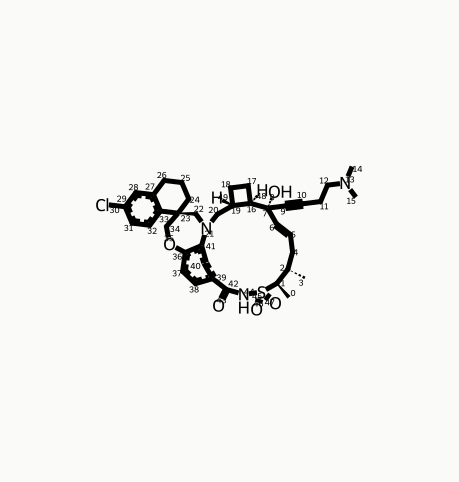 C[C@@H]1[C@@H](C)C/C=C/[C@](O)(C#CCCN(C)C)[C@@H]2CC[C@H]2CN2C[C@@]3(CCCc4cc(Cl)ccc43)COc3ccc(cc32)C(=O)NS1(=O)=O